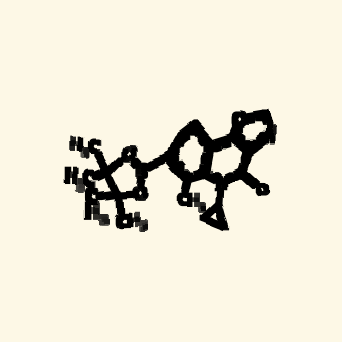 Cc1c(B2OC(C)(C)C(C)(C)O2)ccc2c3ocnc3c(=O)n(C3CC3)c12